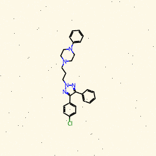 Clc1ccc(-c2nn(CCCN3CCN(c4ccccc4)CC3)nc2-c2ccccc2)cc1